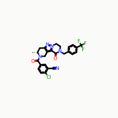 C[C@@H]1Cc2nn3c(c2CN1C(=O)c1ccc(Cl)c(C#N)c1)C(=O)N(Cc1ccc(C(F)(F)F)cc1)CC3